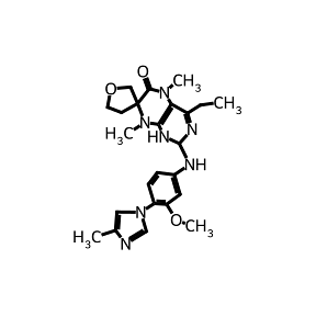 CCC1=NC(Nc2ccc(-n3cnc(C)c3)c(OC)c2)NC2=C1N(C)C(=O)C1(CCOC1)N2C